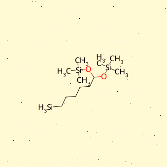 C[Si](C)(C)OC(CCCCC[SiH3])O[Si](C)(C)C